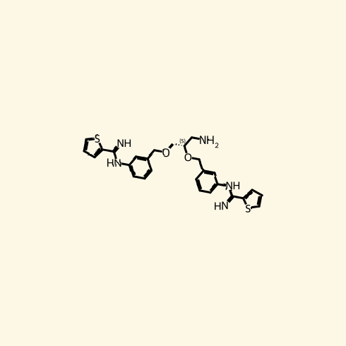 N=C(Nc1cccc(COC[C@H](CN)OCc2cccc(NC(=N)c3cccs3)c2)c1)c1cccs1